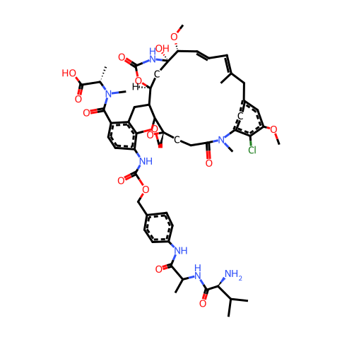 COc1cc2cc(c1Cl)N(C)C(=O)CC[C@]1(C)OC1C(Cc1c(C(=O)N(C)[C@@H](C)C(=O)O)ccc(NC(=O)OCc3ccc(NC(=O)C(C)NC(=O)[C@@H](N)C(C)C)cc3)c1OC)[C@@H]1C[C@@](O)(NC(=O)O1)[C@H](OC)/C=C/C=C(\C)C2